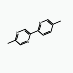 Cc1ccc(-c2cnc(C)cn2)nc1